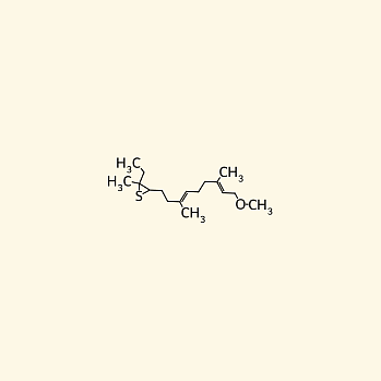 CCC1(C)SC1CCC(C)=CCCC(C)=CCOC